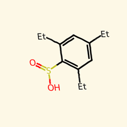 CCc1cc(CC)c(S(=O)O)c(CC)c1